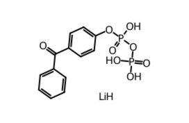 O=C(c1ccccc1)c1ccc(OP(=O)(O)OP(=O)(O)O)cc1.[LiH]